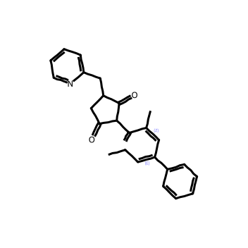 C=C(/C(C)=C\C(=C/CC)c1ccccc1)C1C(=O)CC(Cc2ccccn2)C1=O